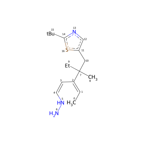 C/C=C(\C=C/NN)C(C)(CC)Cc1cnc(C(C)(C)C)s1